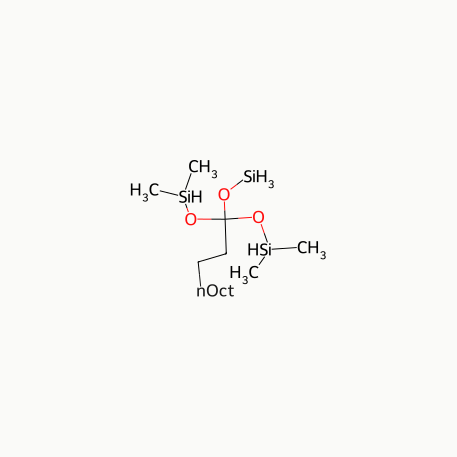 CCCCCCCCCCC(O[SiH3])(O[SiH](C)C)O[SiH](C)C